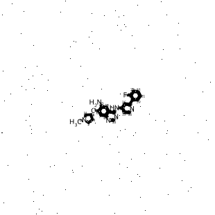 CN1CC[C@@H](Oc2cc3ncnc(Nc4ccnc(-c5ccccc5F)c4)c3cc2N)C1